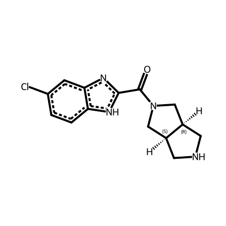 O=C(c1nc2cc(Cl)ccc2[nH]1)N1C[C@H]2CNC[C@H]2C1